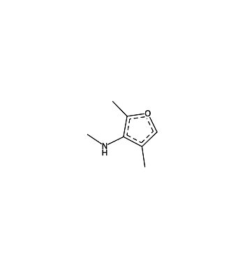 CNc1c(C)coc1C